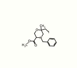 COC(=O)C1COC(C)(CI)CN1Cc1ccccc1